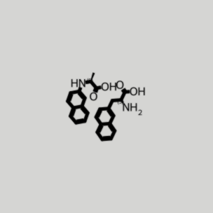 C[C@H](Nc1ccc2ccccc2c1)C(=O)O.N[C@@H](Cc1ccc2ccccc2c1)C(=O)O